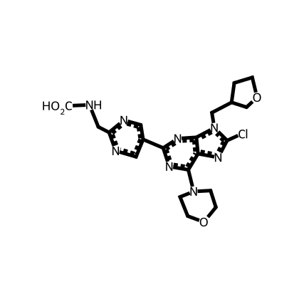 O=C(O)NCc1ncc(-c2nc(N3CCOCC3)c3nc(Cl)n(CC4CCOC4)c3n2)cn1